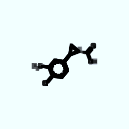 Cc1cc(C2C[C@@H]2C(=O)O)ccc1Cl